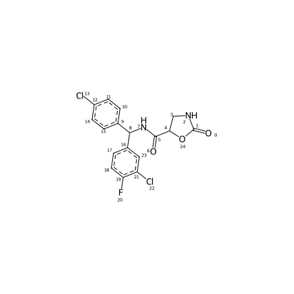 O=C1NCC(C(=O)NC(c2ccc(Cl)cc2)c2ccc(F)c(Cl)c2)O1